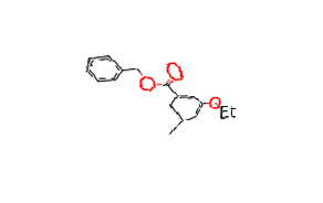 CCOC1=CC(C)CC(C(=O)OCc2ccccc2)=C1